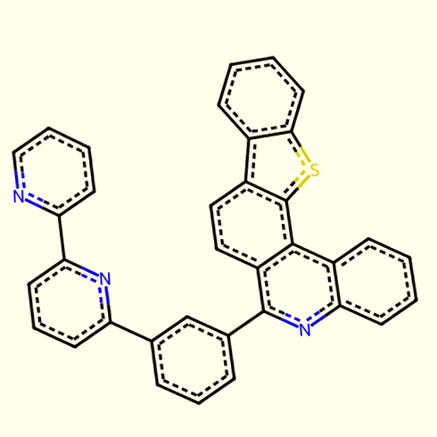 c1ccc(-c2cccc(-c3cccc(-c4nc5ccccc5c5c4ccc4c6ccccc6sc45)c3)n2)nc1